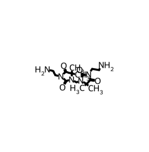 CC1(C)C(=O)N(CCN)C(=O)N1CN1C(=O)N(CCN)C(=O)C1(C)C